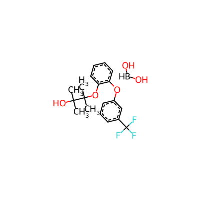 CC(C)(O)C(C)(C)Oc1ccccc1Oc1cccc(C(F)(F)F)c1.OBO